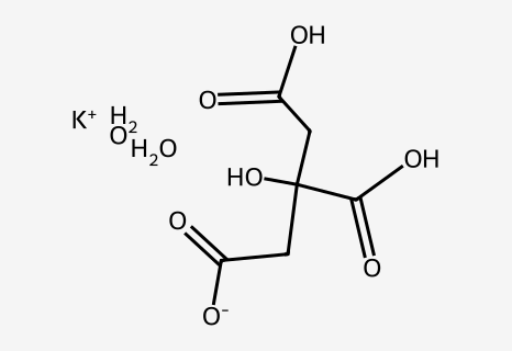 O.O.O=C([O-])CC(O)(CC(=O)O)C(=O)O.[K+]